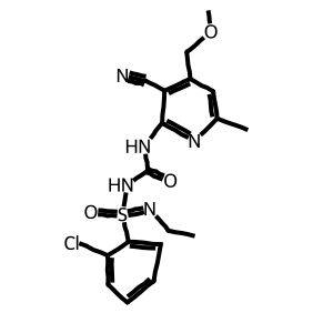 CCN=S(=O)(NC(=O)Nc1nc(C)cc(COC)c1C#N)c1ccccc1Cl